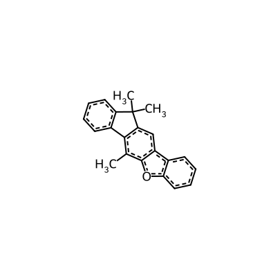 Cc1c2c(cc3c1oc1ccccc13)C(C)(C)c1ccccc1-2